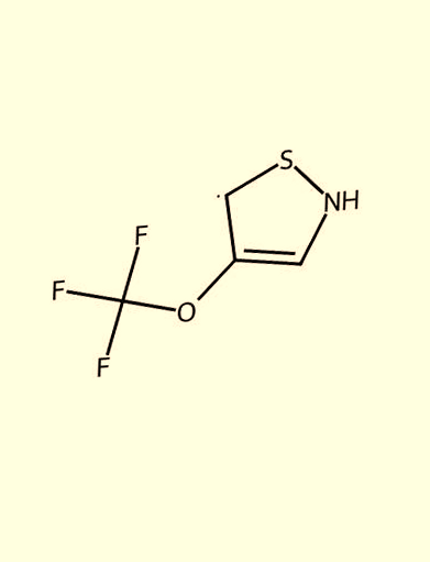 FC(F)(F)OC1=CNS[CH]1